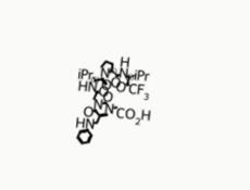 CC(C)[C@H](NC(=O)Cn1c(=O)c(CNc2ccccc2)cn(CC(=O)O)c1=O)C(=O)N1CCC[C@H]1C(=O)N[C@H](C(=O)C(F)(F)F)C(C)C